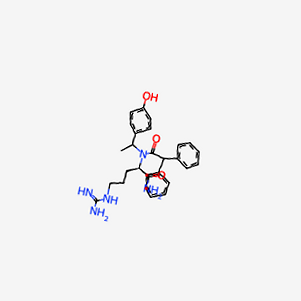 CC(c1ccc(O)cc1)N(C(=O)C(c1ccccc1)c1ccccc1)[C@H](CCCNC(=N)N)C(N)=O